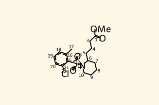 COC(=O)CCCC1CCCCN1S(=O)(=O)c1c(C)cccc1Cl